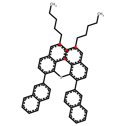 CCCCCCc1ccc2ccc(-c3ccc4ccccc4c3)c(Sc3c(-c4ccc5ccccc5c4)ccc4ccc(CCCCCC)cc34)c2c1